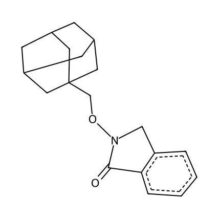 O=C1c2ccccc2CN1OCC12CC3CC(CC(C3)C1)C2